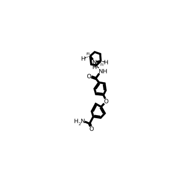 NC(=O)c1ccc(Oc2ccc(C(=O)N[C@@H]3C[C@H]4CC[C@@H]3N4)cc2)cc1